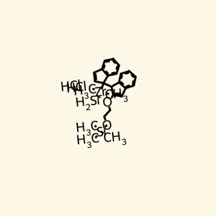 C[Si](C)(C)OCCOC1=Cc2ccccc2C1[C]1([Zr]([CH3])([CH3])=[SiH2])C=Cc2ccccc21.Cl.Cl